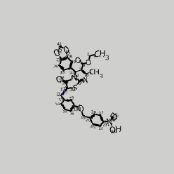 CCOC(=O)C1=C(C)N=c2s/c(=C\c3cccc(OCc4ccc([N+](=O)O)cc4)c3)c(=O)n2C1c1ccc2c(c1)OCO2